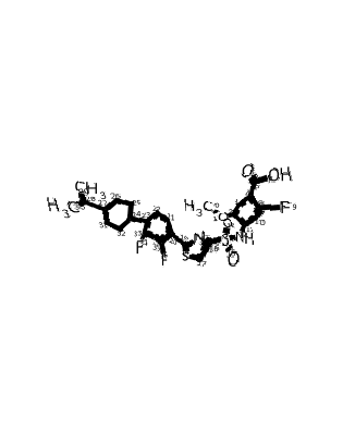 COc1cc(C(=O)O)c(F)cc1NS(=O)(=O)c1csc(-c2ccc(C3CCC(C(C)C)CC3)c(F)c2F)n1